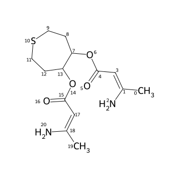 C/C(N)=C/C(=O)OC1CCSCCC1OC(=O)/C=C(/C)N